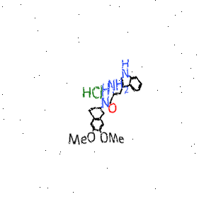 COc1cc2c(cc1OC)CC(NC(=O)[C@@H](N)Cc1c[nH]c3ccccc13)CC2.Cl